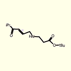 CC(C)C(=O)/C=C/CNCCC(=O)OC(C)(C)C